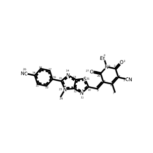 CCN1C(=O)C(C#N)=C(C)/C(=C/c2nc3c(nc(-c4ccc(C#N)cc4)n3C)s2)C1=O